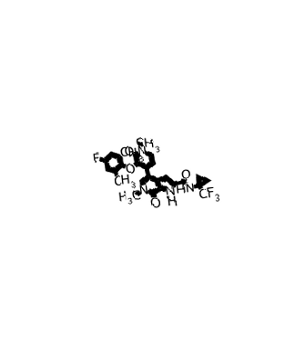 Cc1cc(F)cc(C)c1Oc1c(-c2cn(C)c(=O)c3[nH]c(C(=O)NC4(C(F)(F)F)CC4)cc23)ccn(C)c1=O